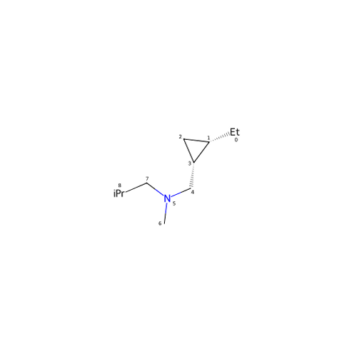 CC[C@H]1C[C@H]1CN(C)CC(C)C